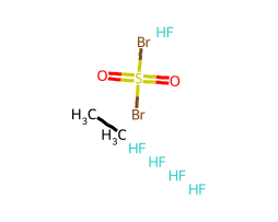 CC.F.F.F.F.F.O=S(=O)(Br)Br